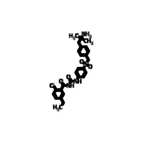 CCc1ccc(Cl)c(C(=O)NC(=O)Nc2ccc(S(=O)(=O)Cc3ccc(CC(C)(C)N)cc3)cc2)c1